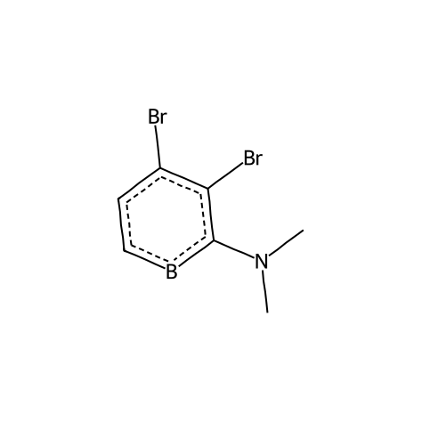 CN(C)c1bccc(Br)c1Br